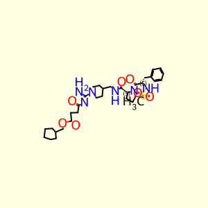 CS(=O)(=O)N[C@@H](Cc1ccccc1)C(=O)N1CCC[C@H]1C(=O)NCC1CCN(C(N)=NC(=O)CCC(=O)OCC2CCCCC2)CC1